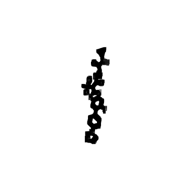 CS(=O)(=O)C(C(=O)NCC(=O)NC1CC1)c1nc2cc(F)c(-c3ccc(-n4ccnc4)cc3)cc2s1